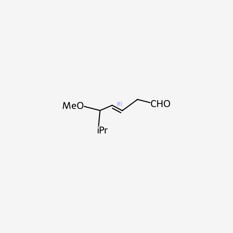 COC(/C=C/CC=O)C(C)C